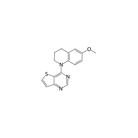 COc1ccc2c(c1)CCCN2c1ncnc2ccsc12